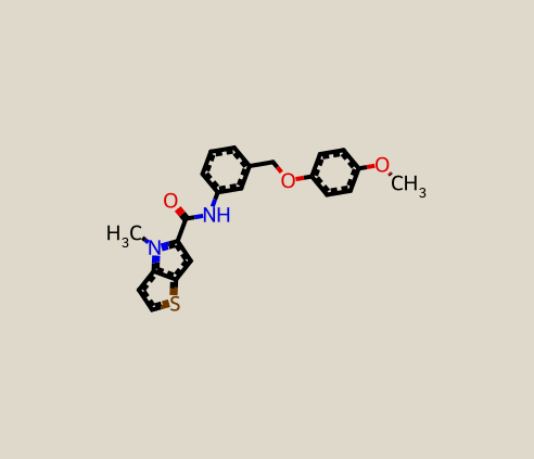 COc1ccc(OCc2cccc(NC(=O)c3cc4sccc4n3C)c2)cc1